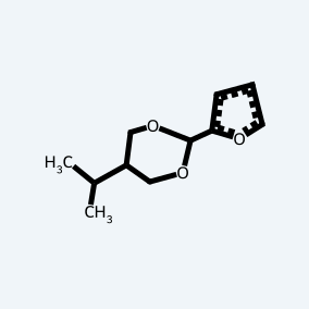 CC(C)C1COC(c2ccco2)OC1